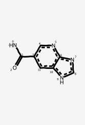 [NH]C(=O)c1cnc2nc[nH]c2c1